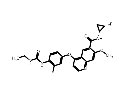 CCNC(=O)Nc1ccc(Oc2ccnc3cc(OC)c(C(=O)N[C@@H]4C[C@@H]4F)cc23)cc1F